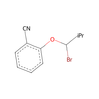 CC(C)C(Br)Oc1ccccc1C#N